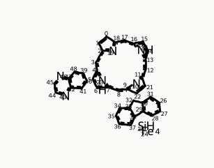 C1=Cc2cc3ccc(cc4nc(cc5ccc(cc1n2)[nH]5)C=C4)[nH]3.[Fe].[SiH4].c1ccc2c(c1)Cc1ccccc1-2.c1ccc2nccnc2c1